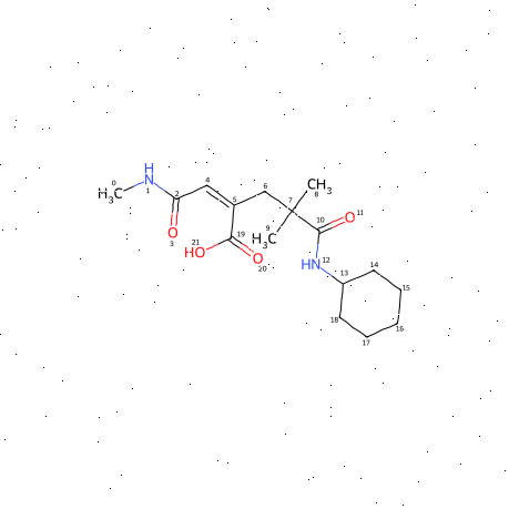 CNC(=O)/C=C(/CC(C)(C)C(=O)NC1CCCCC1)C(=O)O